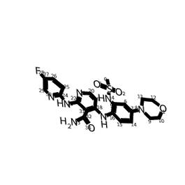 CS(=O)(=O)Nc1cc(N2CCOCC2)ccc1Nc1ccnc(Nc2ccc(F)cn2)c1C(N)=O